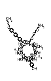 CCCCCOc1ccc(-c2ccc(-c3ccc(C(=O)NC4C[C@@H](O)C(NCCOCCOCCOCCN)NC(=O)C5[C@@H](O)[C@@H](C)CN5C(=O)C([C@@H](C)O)NC(=O)C([C@H](O)[C@@H](O)c5ccc(O)cc5)NC(=O)C5C[C@@H](O)CN5C(=O)C([C@@H](C)O)NC4=O)cc3)cc2)cc1